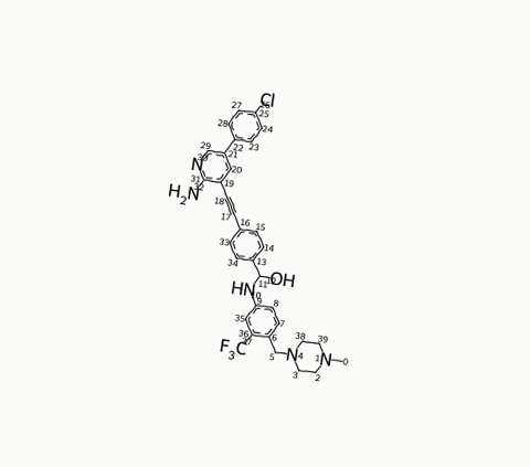 CN1CCN(Cc2ccc(NC(O)c3ccc(C#Cc4cc(-c5ccc(Cl)cc5)cnc4N)cc3)cc2C(F)(F)F)CC1